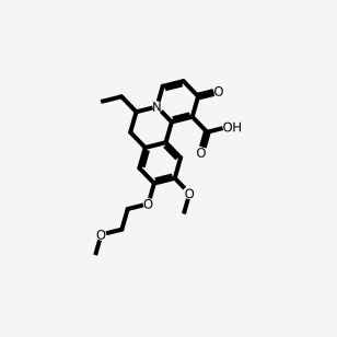 CCC1Cc2cc(OCCOC)c(OC)cc2-c2c(C(=O)O)c(=O)ccn21